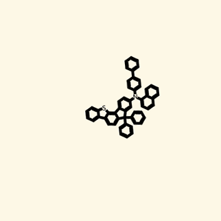 c1ccc(-c2ccc(N(c3ccc4c(c3)C(c3ccccc3)(c3ccccc3)c3ccc5c(sc6ccccc65)c3-4)c3cccc4ccccc34)cc2)cc1